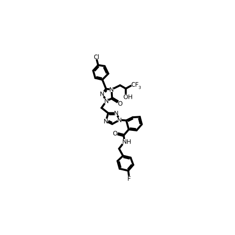 O=C(NCc1ccc(F)cc1)c1ccccc1-n1cnc(Cn2nc(-c3ccc(Cl)cc3)n(CC(O)C(F)(F)F)c2=O)n1